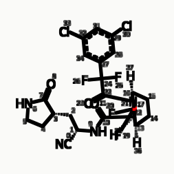 N#C[C@H](C[C@@H]1CCNC1=O)NC(=O)[C@@H]1[C@@H]2CC[C@@H](CC2(F)F)N1C(=O)C(F)(F)c1cc(Cl)cc(Cl)c1